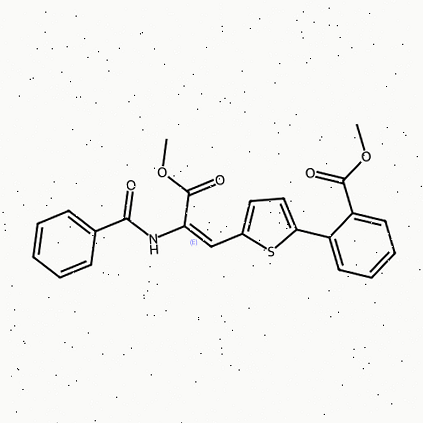 COC(=O)/C(=C\c1ccc(-c2ccccc2C(=O)OC)s1)NC(=O)c1ccccc1